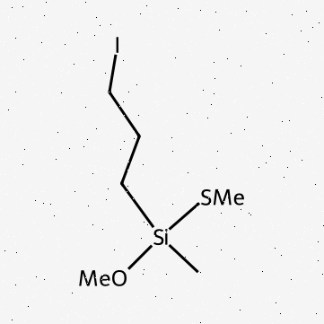 CO[Si](C)(CCCI)SC